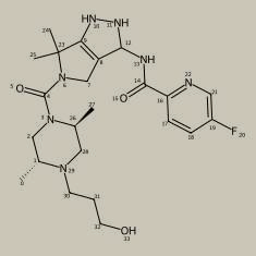 C[C@@H]1CN(C(=O)N2CC3=C(NNC3NC(=O)c3ccc(F)cn3)C2(C)C)[C@@H](C)CN1CCCO